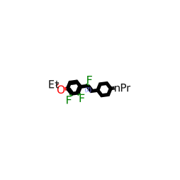 CCCC1CCC(/C=C(\F)c2ccc(OCC)c(F)c2F)CC1